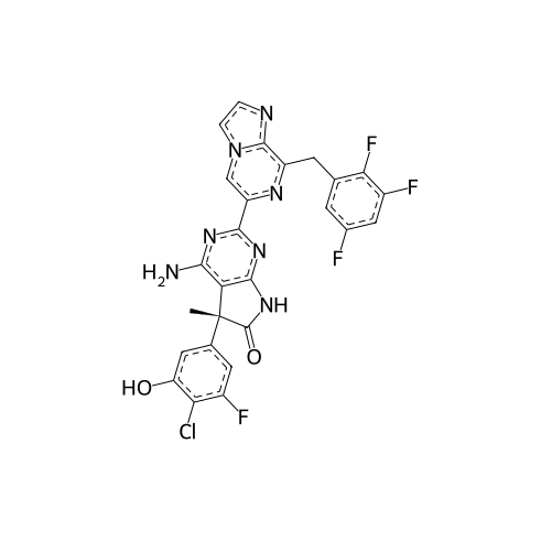 C[C@]1(c2cc(O)c(Cl)c(F)c2)C(=O)Nc2nc(-c3cn4ccnc4c(Cc4cc(F)cc(F)c4F)n3)nc(N)c21